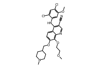 COCCOc1c(OCC2CCN(C)CC2)ccc2c(Nc3cc(OC)c(Cl)cc3Cl)c(C#N)cnc12